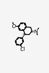 COc1ccc2c(c1)[C@H](c1cccc(Cl)c1)C[C@@H](N(C)C)C2